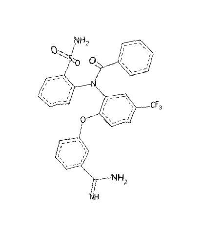 N=C(N)c1cccc(Oc2ccc(C(F)(F)F)cc2N(C(=O)c2ccccc2)c2ccccc2S(N)(=O)=O)c1